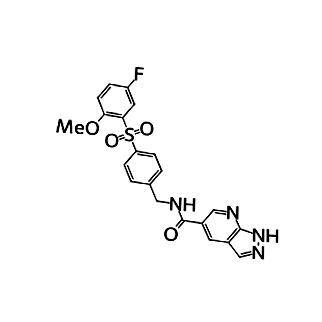 COc1ccc(F)cc1S(=O)(=O)c1ccc(CNC(=O)c2cnc3[nH]ncc3c2)cc1